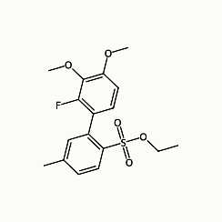 CCOS(=O)(=O)c1ccc(C)cc1-c1ccc(OC)c(OC)c1F